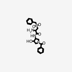 NC(CS(=O)(=O)Cc1ccccc1)C(=O)NC1CN(C(=O)c2ccccc2)CC1O